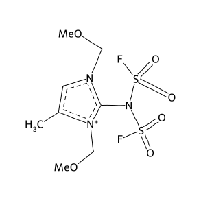 COCn1cc(C)[n+](COC)c1N(S(=O)(=O)F)S(=O)(=O)F